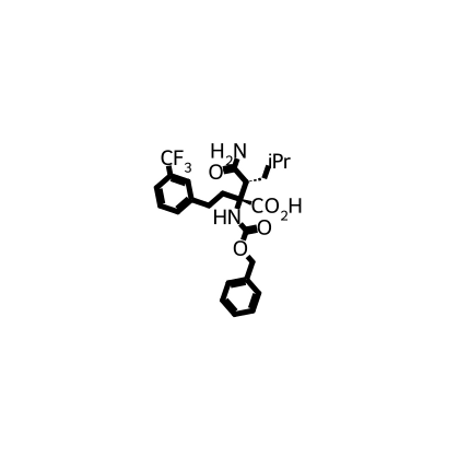 CC(C)C[C@@H](C(N)=O)[C@@](CCc1cccc(C(F)(F)F)c1)(NC(=O)OCc1ccccc1)C(=O)O